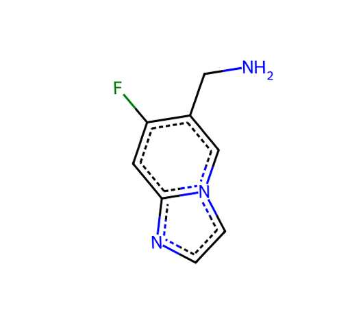 NCc1cn2ccnc2cc1F